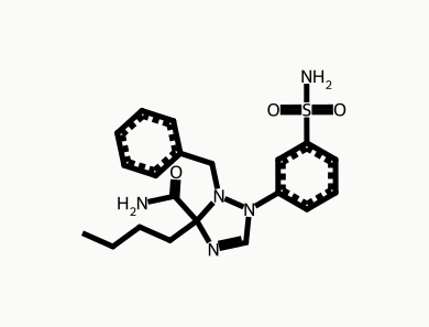 CCCCC1(C(N)=O)N=CN(c2cccc(S(N)(=O)=O)c2)N1Cc1ccccc1